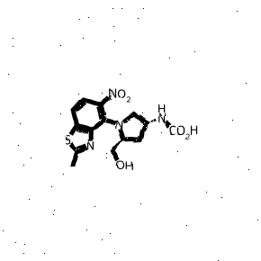 Cc1nc2c(N3C[C@H](NC(=O)O)C[C@H]3CO)c([N+](=O)[O-])ccc2s1